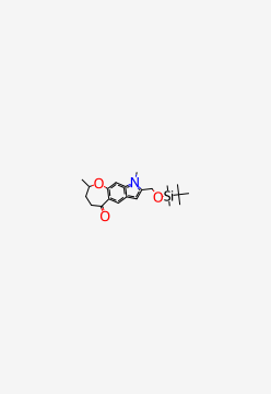 CC1CCC(=O)c2cc3cc(CO[Si](C)(C)C(C)(C)C)n(C)c3cc2O1